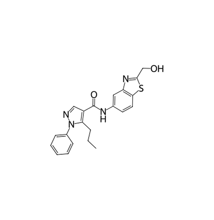 CCCc1c(C(=O)Nc2ccc3sc(CO)nc3c2)cnn1-c1ccccc1